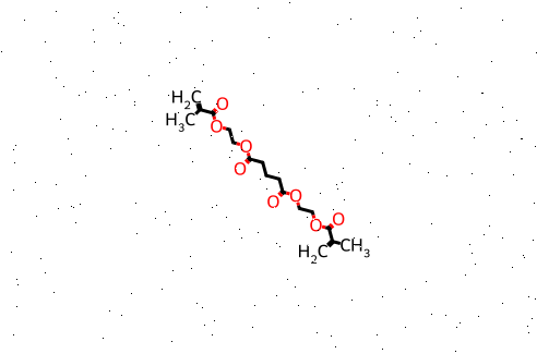 C=C(C)C(=O)OCCOC(=O)CCCC(=O)OCCOC(=O)C(=C)C